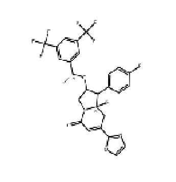 C[C@@H](OC1CN2C(=O)C=C(c3ncco3)C[C@H]2C1c1ccc(F)cc1)c1cc(C(F)(F)F)cc(C(F)(F)F)c1